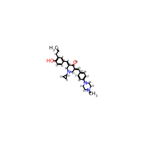 C=CCc1cc(/C=C2\CN(C3CC3)C/C(=C\c3ccc(N4CCN(C)CC4)cc3)C2=O)ccc1O